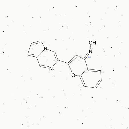 O/N=c1\cc(-c2cn3cccc3cn2)oc2ccccc12